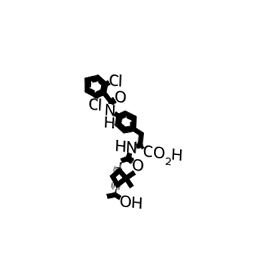 CC(O)[C@@H]1C[C@H](CC(=O)N[C@@H](Cc2ccc(NC(=O)c3c(Cl)cccc3Cl)cc2)C(=O)O)C1(C)C